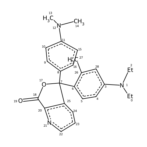 CCN(CC)c1ccc(C2(c3ccc(N(C)C)cc3)OC(=O)c3ncccc32)c(C)c1